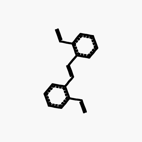 C=Cc1ccccc1C=Cc1ccccc1C=C